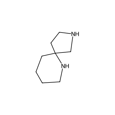 C1CCC2(CCNC2)NC1